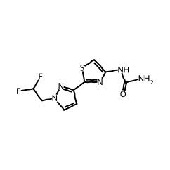 NC(=O)Nc1csc(-c2ccn(CC(F)F)n2)n1